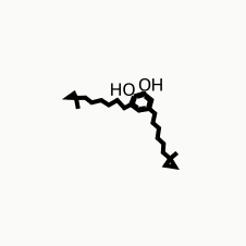 CC1(CCCCCCc2cc(O)c(O)c(CCCCCCC3(C)CC3)c2)CC1